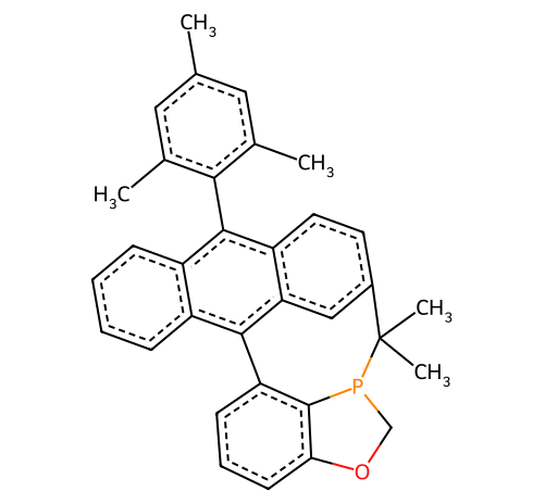 Cc1cc(C)c(-c2c3ccccc3c3c4cc(ccc24)C(C)(C)P2COc4cccc-3c42)c(C)c1